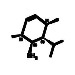 CC(C)[C@@H]1[C@@H](N)[C@@H](C)C=C[C@H]1C